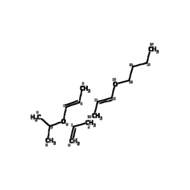 C=CC.CC=COC(C)C.CC=COCCCC